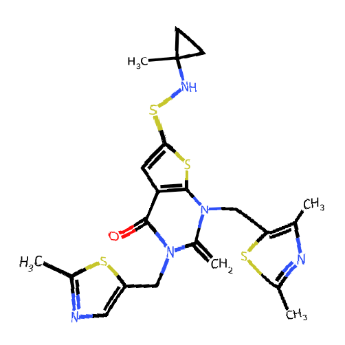 C=C1N(Cc2cnc(C)s2)C(=O)c2cc(SNC3(C)CC3)sc2N1Cc1sc(C)nc1C